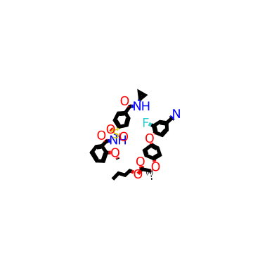 CCCCOC(=O)[C@@H](C)Oc1ccc(Oc2ccc(C#N)cc2F)cc1.COc1ccccc1C(=O)NS(=O)(=O)c1ccc(C(=O)NC2CC2)cc1